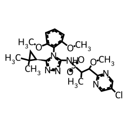 COc1cccc(OC)c1-n1c(NS(=O)(=O)C(C)C(OC)c2ncc(Cl)cn2)nnc1[C@@H]1CC1(C)C